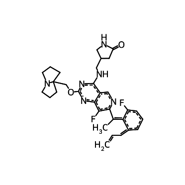 C=C/C=c1/cccc(F)/c1=C(/C)c1ncc2c(NCC3CNC(=O)C3)nc(OCC34CCCN3CCC4)nc2c1F